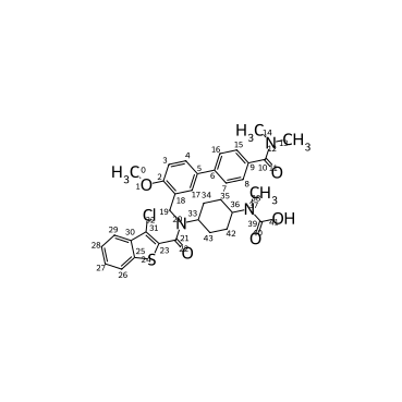 COc1ccc(-c2ccc(C(=O)N(C)C)cc2)cc1CN(C(=O)c1sc2ccccc2c1Cl)C1CCC(N(C)C(=O)O)CC1